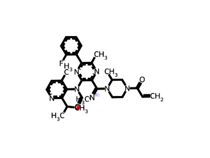 C=CC(=O)N1CCN(/C(=N/C)c2nc(C)c(-c3ccccc3F)nc2N(C=O)c2c(C)ccnc2C(C)C)C(C)C1